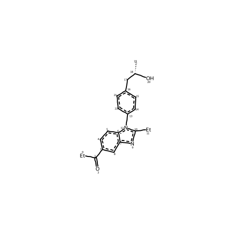 CCC(=O)c1ccc2c(c1)nc(CC)n2-c1ccc(C[C@H](C)O)cc1